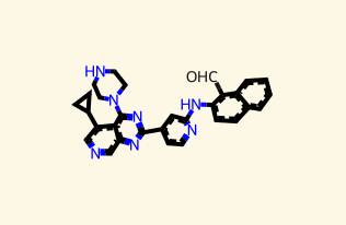 O=Cc1c(Nc2cc(-c3nc(N4CCNCC4)c4c(C5CC5)cncc4n3)ccn2)ccc2ccccc12